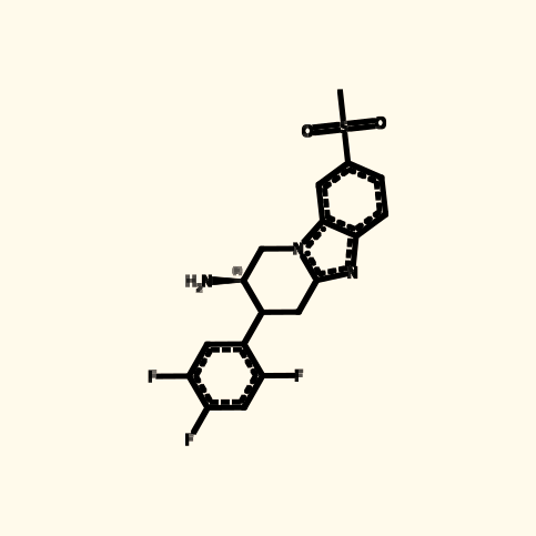 CS(=O)(=O)c1ccc2nc3n(c2c1)C[C@H](N)C(c1cc(F)c(F)cc1F)C3